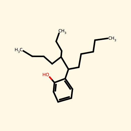 CCCCCC(c1ccccc1O)C(CCC)CCCC